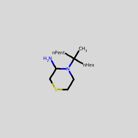 CCCCCCC(C)(CCCCC)N1CCSCC1N